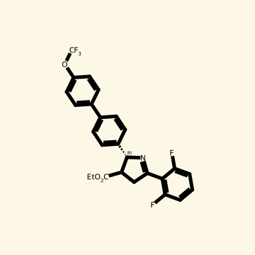 CCOC(=O)C1CC(c2c(F)cccc2F)=N[C@H]1c1ccc(-c2ccc(OC(F)(F)F)cc2)cc1